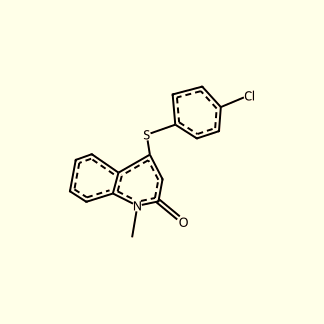 Cn1c(=O)cc(Sc2ccc(Cl)cc2)c2ccccc21